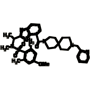 COc1cc(C)c(S(=O)(=O)N(C)C(C)c2nc3cccc(C(=O)N4CCC5(CCN(Cc6ccccn6)CC5)CC4)c3[nH]2)c(C)c1